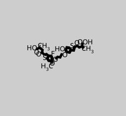 COc1cc2sc(C(=O)C[C@H](C)C(=O)O)cc2c(F)c1OCCCOc1cc2cc(C(=O)CC(C)C(=O)O)sc2cc1O